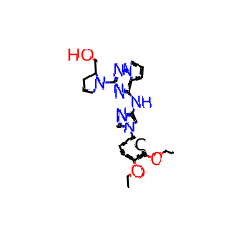 CCOc1ccc(-n2cnc(Nc3nc(N4CCCC4CO)nn4cccc34)c2)cc1OCC